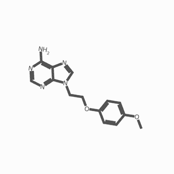 COc1ccc(OCCn2cnc3c(N)ncnc32)cc1